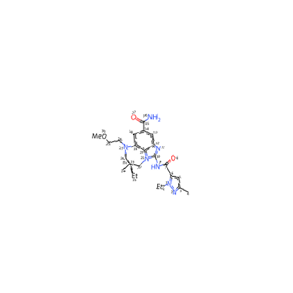 CCn1nc(C)cc1C(=O)Nc1nc2cc(C(N)=O)cc3c2n1C[C@@](C)(CC)CN3CCOC